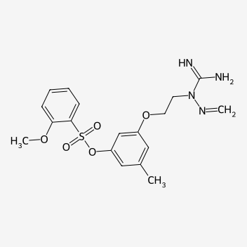 C=NN(CCOc1cc(C)cc(OS(=O)(=O)c2ccccc2OC)c1)C(=N)N